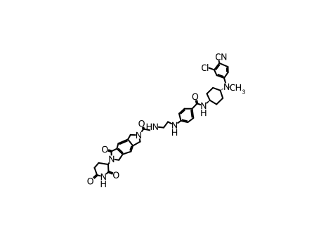 CN(c1ccc(C#N)c(Cl)c1)[C@H]1CC[C@H](NC(=O)c2ccc(NCCNCC(=O)N3Cc4cc5c(cc4C3)C(=O)N(C3CCC(=O)NC3=O)C5)cc2)CC1